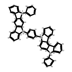 c1ccc(-n2c3ccccc3c3cc4c5ccccc5n(-c5ccc(-n6c7ccccc7c7c8c9ccccc9n(-c9ccccc9)c8ccc76)cc5)c4cc32)cc1